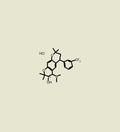 CN(C)C1c2cc3c(cc2OC(C)(C)[C@@H]1O)OC(C)(C)CC3c1cccc(C(F)(F)F)c1.Cl